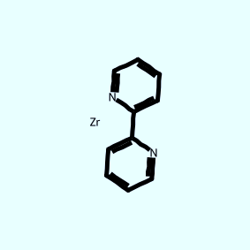 [Zr].c1ccc(-c2ccccn2)nc1